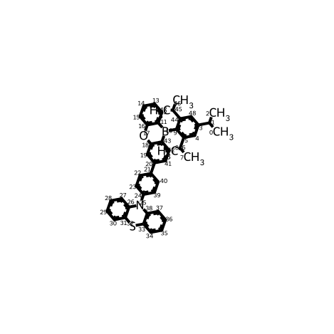 CC(C)c1cc(C(C)C)c(B2c3ccccc3Oc3cc(-c4ccc(N5c6ccccc6Sc6ccccc65)cc4)ccc32)c(C(C)C)c1